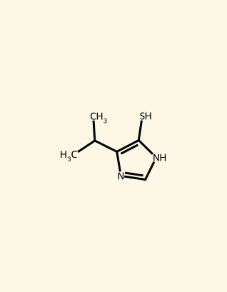 CC(C)c1nc[nH]c1S